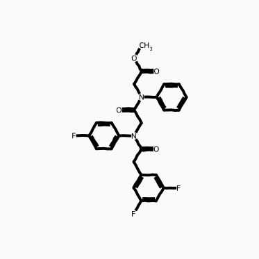 COC(=O)CN(C(=O)CN(C(=O)Cc1cc(F)cc(F)c1)c1ccc(F)cc1)c1ccccc1